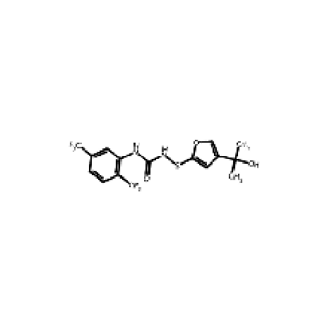 CC(C)(O)c1coc(SNC(=O)Nc2cc(C(F)(F)F)ccc2C(F)(F)F)c1